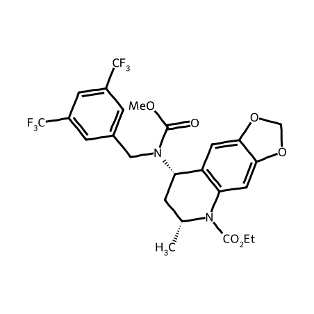 CCOC(=O)N1c2cc3c(cc2[C@@H](N(Cc2cc(C(F)(F)F)cc(C(F)(F)F)c2)C(=O)OC)C[C@H]1C)OCO3